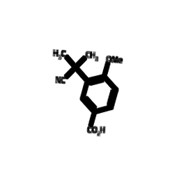 COc1ccc(C(=O)O)cc1C(C)(C)C#N